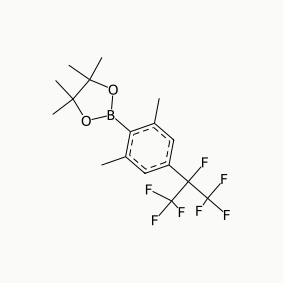 Cc1cc(C(F)(C(F)(F)F)C(F)(F)F)cc(C)c1B1OC(C)(C)C(C)(C)O1